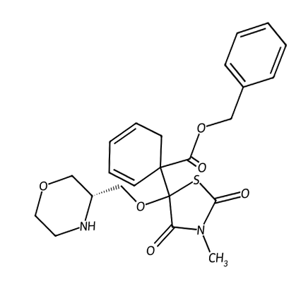 CN1C(=O)SC(OC[C@H]2COCCN2)(C2(C(=O)OCc3ccccc3)C=CC=CC2)C1=O